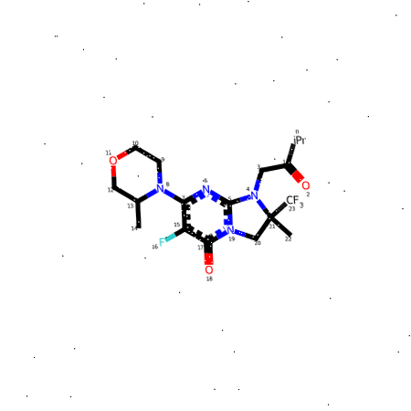 CC(C)C(=O)CN1c2nc(N3CCOCC3C)c(F)c(=O)n2CC1(C)C(F)(F)F